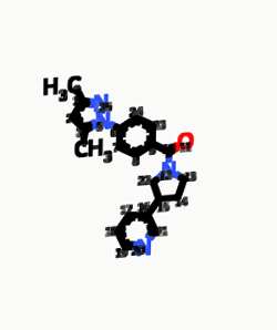 Cc1cc(C)n(-c2ccc(C(=O)N3CCC(c4cccnc4)C3)cc2)n1